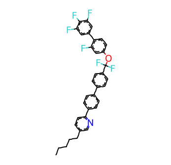 CCCCCc1ccc(-c2ccc(-c3ccc(C(F)(F)Oc4ccc(-c5cc(F)c(F)c(F)c5)c(F)c4)cc3)cc2)nc1